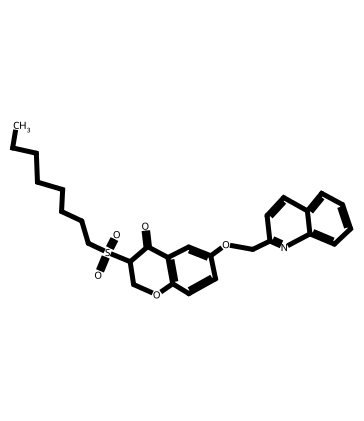 CCCCCCCCS(=O)(=O)C1COc2ccc(OCc3ccc4ccccc4n3)cc2C1=O